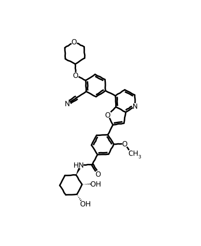 COc1cc(C(=O)N[C@@H]2CCC[C@@H](O)[C@H]2O)ccc1-c1cc2nccc(-c3ccc(OC4CCOCC4)c(C#N)c3)c2o1